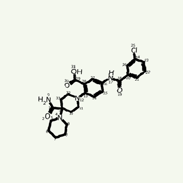 NC(=O)C1(N2CCCCC2)CCN(c2ccc(NC(=O)c3cccc(Cl)c3)cc2C(=O)O)CC1